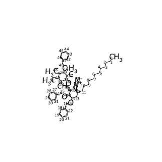 CCCCCCCCCCCCCC[C@@H](OCc1ccccc1)[C@@H](OCc1ccccc1)[C@H](CO[C@H]1C(C)C(OCc2ccccc2)[C@H](C)[C@H](C)C1C)N=[N+]=[N-]